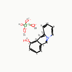 Oc1cccc2c[n+]3ccccc3cc12.[O-][Cl+3]([O-])([O-])[O-]